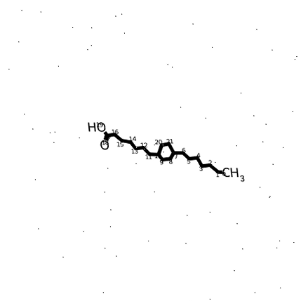 CCCCCCCC1CCC(CCCCCCC(=O)O)CC1